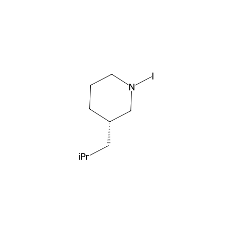 CC(C)C[C@@H]1CCCN(I)C1